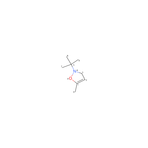 CC1=CCN(C(C)(C)C)O1